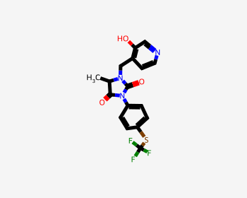 CC1C(=O)N(c2ccc(SC(F)(F)F)cc2)C(=O)N1Cc1ccncc1O